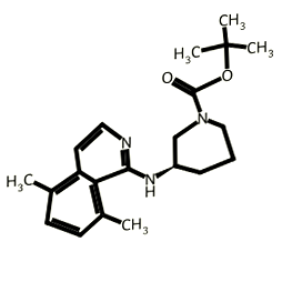 Cc1ccc(C)c2c(N[C@@H]3CCCN(C(=O)OC(C)(C)C)C3)nccc12